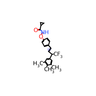 Cc1cc(C(/C=C/c2ccc(ONC(=O)C3CC3)cc2)C(F)(F)F)cc(C)c1C